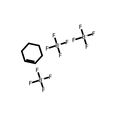 C1=CCCCC1.F[B-](F)(F)F.F[B-](F)(F)F.F[B-](F)(F)F